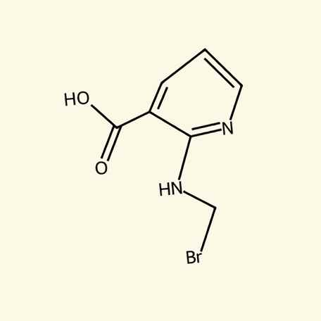 O=C(O)c1cccnc1NCBr